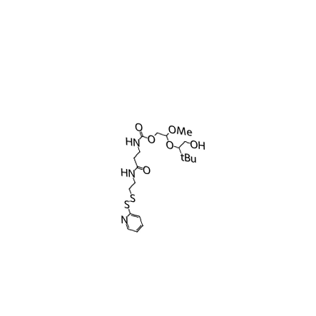 COC(COC(=O)NCCC(=O)NCCSSc1ccccn1)OC(CO)C(C)(C)C